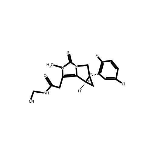 Cn1c(CC(=O)NCC#N)c2n(c1=S)C[C@@]1(c3cc(Cl)ccc3F)C[C@@H]21